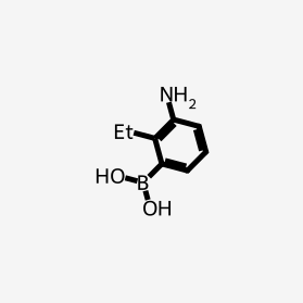 CCc1c(N)cccc1B(O)O